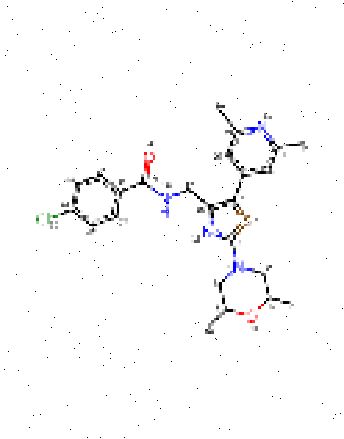 Cc1cc(-c2sc(N3CC(C)OC(C)C3)nc2CNC(=O)c2ccc(Cl)cc2)cc(C)n1